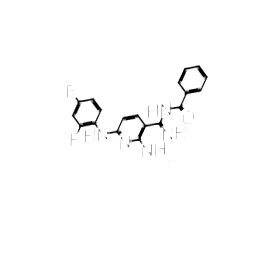 N=C(NC(=O)c1ccccc1)c1ccc(Nc2ccc(F)cc2F)nc1N